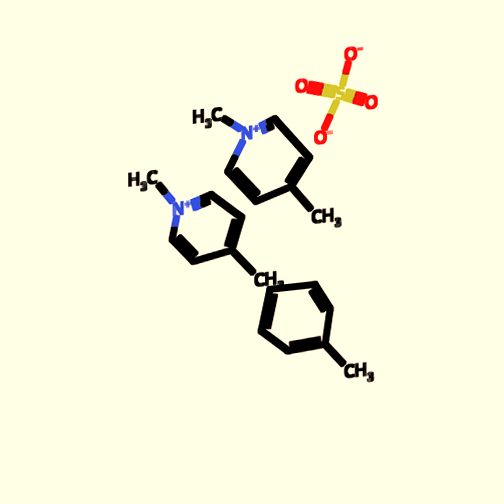 Cc1cc[n+](C)cc1.Cc1cc[n+](C)cc1.Cc1ccccc1.O=S(=O)([O-])[O-]